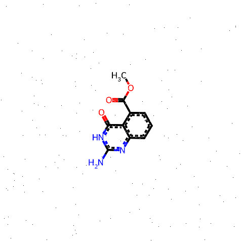 COC(=O)c1cccc2nc(N)[nH]c(=O)c12